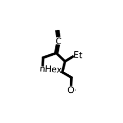 C=C=C(CCCCCCC)C(CC)CC[O]